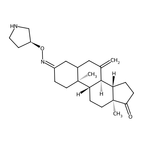 C=C1CC2CC(=NO[C@H]3CCNC3)CC[C@]2(C)[C@H]2CC[C@]3(C)C(=O)CC[C@H]3[C@H]12